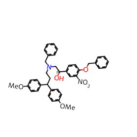 COc1ccc(C(CCN(Cc2ccccc2)C[C@H](O)c2ccc(OCc3ccccc3)c([N+](=O)[O-])c2)c2ccc(OC)cc2)cc1